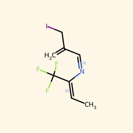 C=C(/C=N\C(=C/C)C(F)(F)F)CI